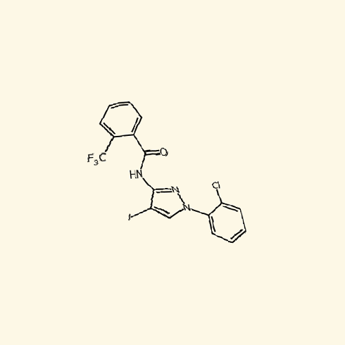 O=C(Nc1nn(-c2ccccc2Cl)cc1I)c1ccccc1C(F)(F)F